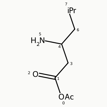 CC(=O)OC(=O)CC(N)CC(C)C